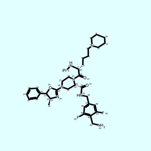 CC(C)N[C@H](CCCCN1CCCCC1)C(=O)N1CCN(C2=N[C@@H](C)C(c3ccccc3)O2)C[C@H]1C(=O)NCc1cc(F)c(CN)c(F)c1